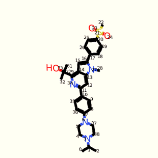 CC(C)N1CCN(c2ccc(-c3cc4c(cc(-c5ccc(S(C)(=O)=O)cc5)n4C)c(C(C)(C)O)n3)cc2)CC1